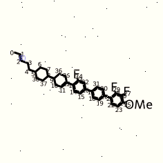 C/C=C/CCC1CCC(C2CC=C(c3ccc(-c4ccc(-c5ccc(OC)c(F)c5F)cc4)cc3F)CC2)CC1